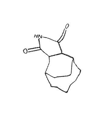 O=C1NC(=O)C2C3CCCCC(CC3)C12